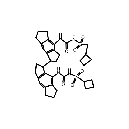 O=C(Nc1c2c(cc3c1CCC3C1CCc3cc4c(c(NC(=O)NS(=O)(=O)C5CCC5)c31)CCC4)CCC2)NS(=O)(=O)CC1CCC1